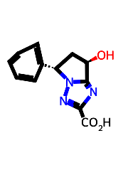 O=C(O)c1nc2n(n1)[C@H](c1ccccc1)C[C@H]2O